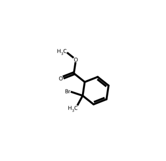 COC(=O)C1C=CC=CC1(C)Br